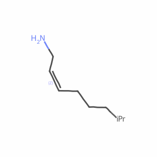 CC(C)CCC/C=C\CN